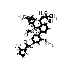 COc1cc(OC(=O)c2sccc2Cl)ccc1-c1ccc2c(c1C(OC=O)c1ccc(C)s1)C(C)=CC(C)(C)N2